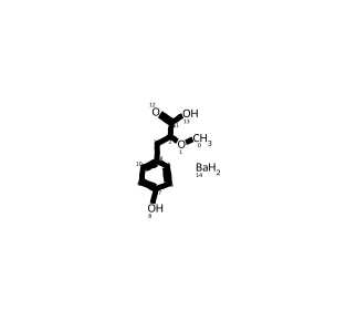 COC(Cc1ccc(O)cc1)C(=O)O.[BaH2]